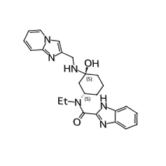 CCN(C(=O)c1nc2ccccc2[nH]1)[C@H]1CCC[C@@](O)(NCc2cn3ccccc3n2)C1